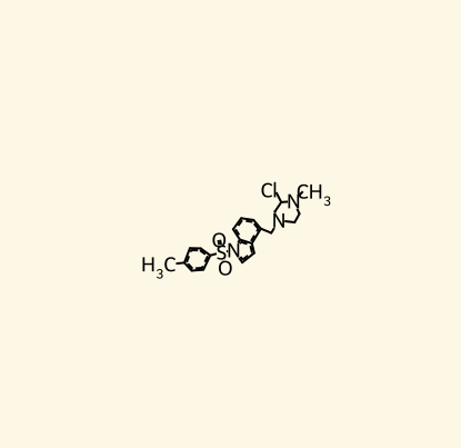 Cc1ccc(S(=O)(=O)n2ccc3c(CN4CCN(C)C(Cl)C4)cccc32)cc1